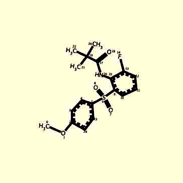 COc1ccc(S(=O)(=O)c2cccc(F)c2NC(=O)C(C)(C)C)cc1